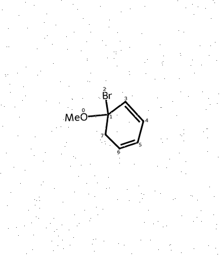 COC1(Br)C=CC=CC1